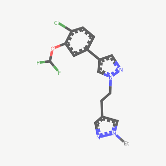 CCn1cc(CCn2cc(-c3ccc(Cl)c(OC(F)F)c3)cn2)cn1